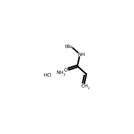 C=CC(=O)NC(C)(C)C.Cl.N